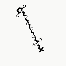 CC(C)(C)CCNC(=O)CCOCCOCCOCCOCCN1C(=O)C=CC1=O